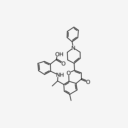 Cc1cc(C(C)Nc2ccccc2C(=O)O)c2oc(C3=CCN(c4ccccc4)CC3)cc(=O)c2c1